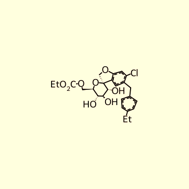 CCOC(=O)OC[C@H]1O[C@]2(COc3cc(Cl)c(Cc4ccc(CC)cc4)cc32)[C@H](O)[C@@H](O)[C@@H]1O